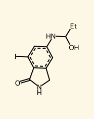 CCC(O)Nc1cc(I)c2c(c1)CNC2=O